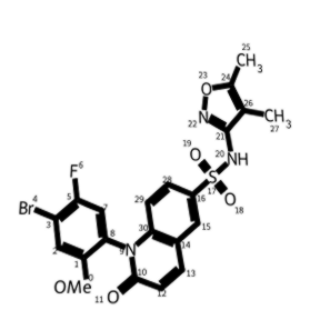 COc1cc(Br)c(F)cc1-n1c(=O)ccc2cc(S(=O)(=O)Nc3noc(C)c3C)ccc21